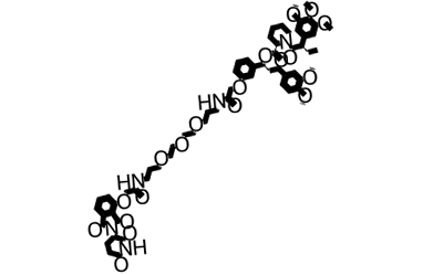 CC[C@H](C(=O)N1CCCC[C@H]1C(=O)O[C@H](CCc1ccc(OC)c(OC)c1)c1cccc(OCC(=O)NCCCOCCOCCOCCCNC(=O)COc2cccc3c2C(=O)N(C2CCC(=O)NC2=O)C3=O)c1)c1cc(OC)c(OC)c(OC)c1